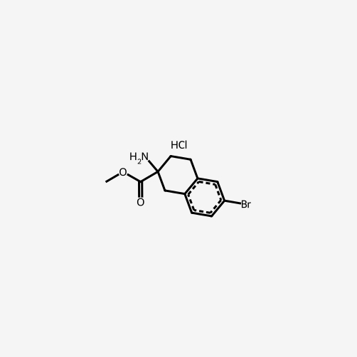 COC(=O)C1(N)CCc2cc(Br)ccc2C1.Cl